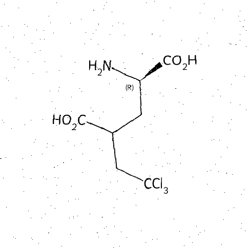 N[C@H](CC(CC(Cl)(Cl)Cl)C(=O)O)C(=O)O